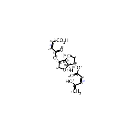 C=C(O)/C=C\C(=O)O[C@H]1CO[C@H]2[C@@H]1OC[C@@H]2OC(=O)/C=C\C(=O)O